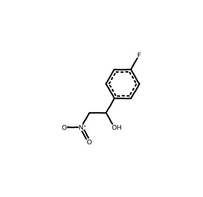 O=[N+]([O-])CC(O)c1ccc(F)cc1